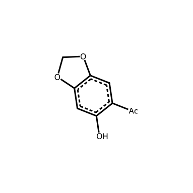 CC(=O)c1cc2c(cc1O)OCO2